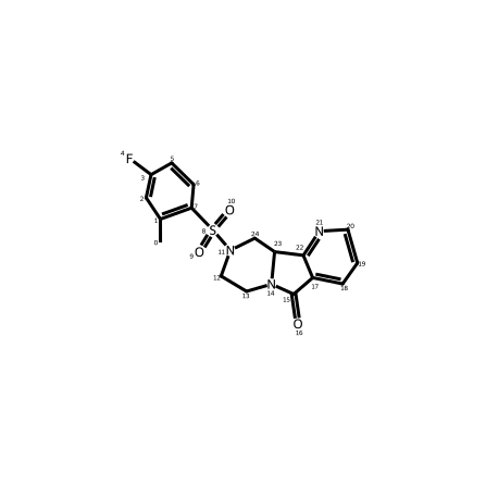 Cc1cc(F)ccc1S(=O)(=O)N1CCN2C(=O)c3cccnc3C2C1